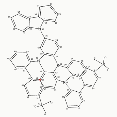 CC(C)(C)c1ccc(-c2ccccc2N2c3ccccc3B3c4ccc(-n5c6ccccc6c6ccccc65)cc4N(c4ccccc4-c4ccc(C(C)(C)C)cc4)c4cccc2c43)cc1